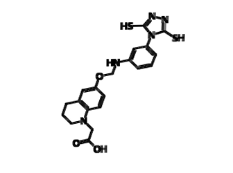 O=C(O)CN1CCCc2cc(OCNc3cccc(-n4c(S)nnc4S)c3)ccc21